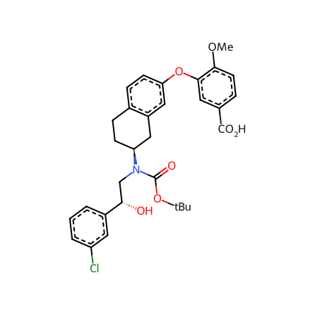 COc1ccc(C(=O)O)cc1Oc1ccc2c(c1)C[C@@H](N(C[C@H](O)c1cccc(Cl)c1)C(=O)OC(C)(C)C)CC2